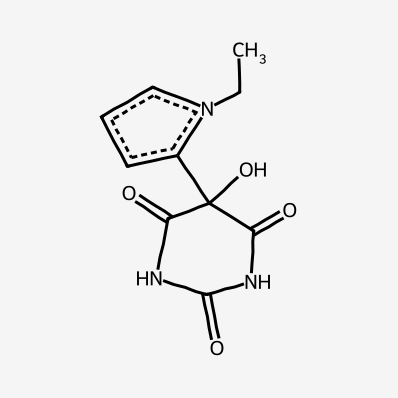 CCn1cccc1C1(O)C(=O)NC(=O)NC1=O